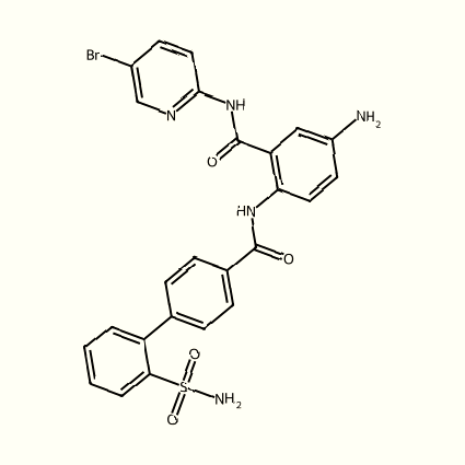 Nc1ccc(NC(=O)c2ccc(-c3ccccc3S(N)(=O)=O)cc2)c(C(=O)Nc2ccc(Br)cn2)c1